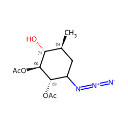 CC(=O)O[C@H]1[C@H](O)[C@@H](C)CC(N=[N+]=[N-])[C@@H]1OC(C)=O